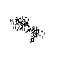 CCC(C(=O)Nc1sc(C(=O)NCCNC(=O)C(CC(C)C)NC(=O)C(CC(C)C)NC(=O)C(N)CC(C)C)c(C)c1C(=O)OC)c1ccc(F)cc1